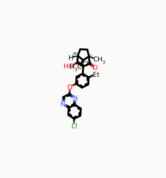 CCc1ccc(Oc2cnc3cc(Cl)ccc3n2)cc1C1=C(O)[C@@H]2CC[C@](C)(C1=O)C2(C)C